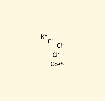 [Cl-].[Cl-].[Cl-].[Co+2].[K+]